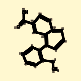 COc1ccncc1-c1cccc2ccc(C(=O)O)cc12